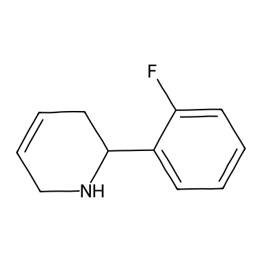 Fc1ccccc1C1CC=CCN1